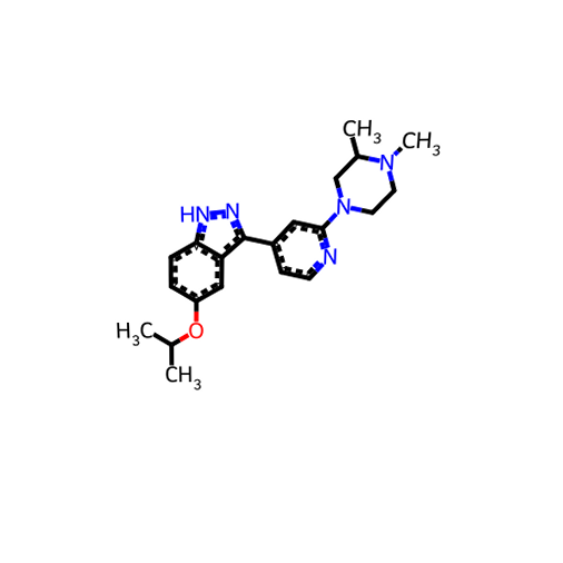 CC(C)Oc1ccc2[nH]nc(-c3ccnc(N4CCN(C)C(C)C4)c3)c2c1